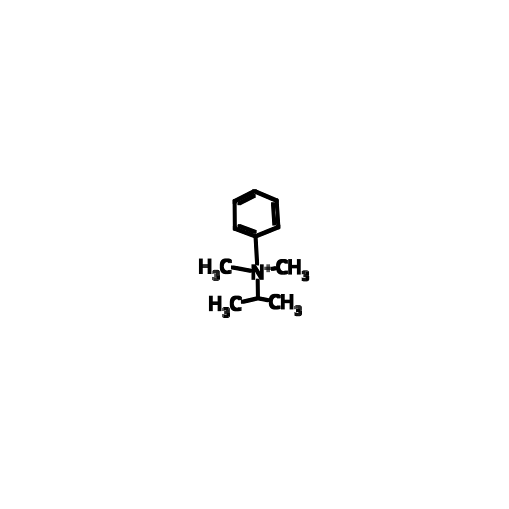 CC(C)[N+](C)(C)c1ccccc1